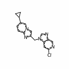 Clc1cc2c(cn1)ncn2Cc1cn2cc(C3CC3)ccc2n1